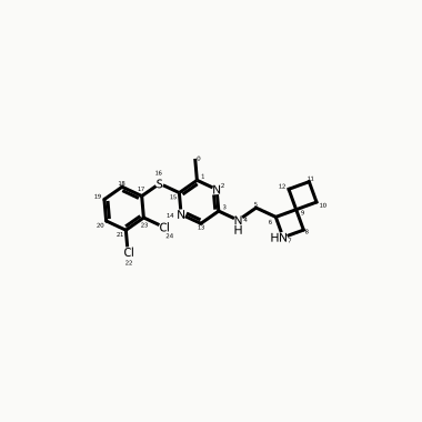 Cc1nc(NCC2NCC23CCC3)cnc1Sc1cccc(Cl)c1Cl